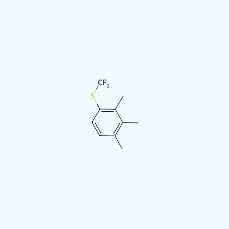 Cc1ccc(SC(F)(F)F)c(C)c1C